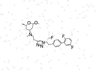 CO[C@H]1C[C@@H](N(C)CCc2cn([C@H](CF)Cc3ccc(-c4cc(F)ccc4F)cc3)nn2)C[C@@H](C)O1